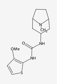 COc1ccsc1NC(=O)NC1CC2CCC(C1)N2C